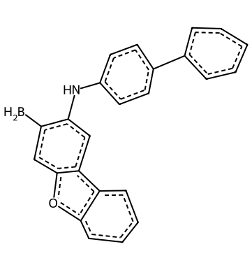 Bc1cc2oc3ccccc3c2cc1Nc1ccc(-c2ccccc2)cc1